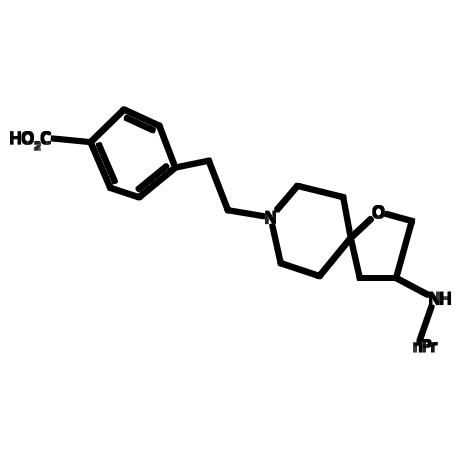 CCCNC1COC2(CCN(CCc3ccc(C(=O)O)cc3)CC2)C1